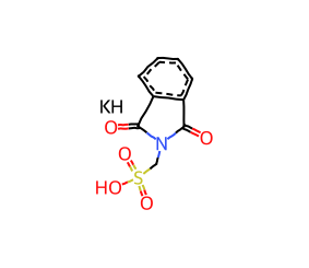 O=C1c2ccccc2C(=O)N1CS(=O)(=O)O.[KH]